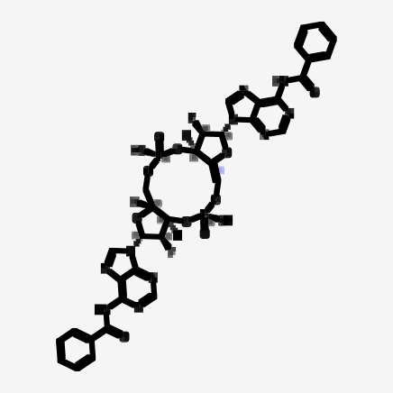 O=C(Nc1ncnc2c1ncn2[C@@H]1O[C@@H]2CO[P@@](=O)(S)O[C@@H]3/C(=C\O[P@@](=O)(S)O[C@H]2[C@H]1F)O[C@@H](n1cnc2c(NC(=O)c4ccccc4)ncnc21)[C@@H]3F)c1ccccc1